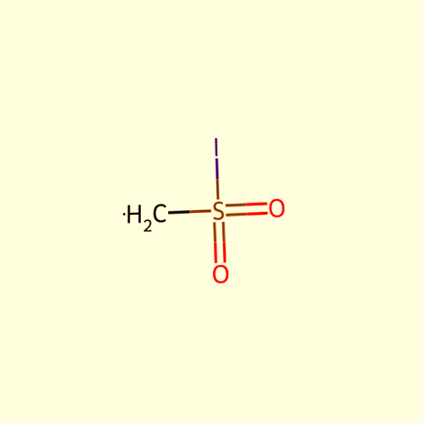 [CH2]S(=O)(=O)I